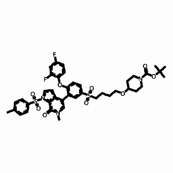 Cc1ccc(S(=O)(=O)n2ccc3c(-c4cc(S(=O)(=O)CCCCOC5CCN(C(=O)OC(C)(C)C)CC5)ccc4Oc4ccc(F)cc4F)cn(C)c(=O)c32)cc1